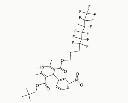 CC1=C(C(=O)OCCCC(F)(F)C(F)(F)C(F)(F)C(F)(F)C(F)(F)C(F)(F)F)C(c2cccc([N+](=O)[O-])c2)C(C(=O)OCC(C)(C)C)=C(C)N1